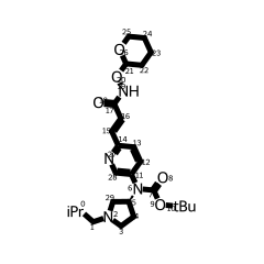 CC(C)CN1CC[C@@H](N(C(=O)OC(C)(C)C)c2ccc(C=CC(=O)NOC3CCCCO3)nc2)C1